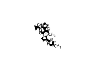 Cc1cnc(C2CCN(C(=O)c3c(C)oc4ncnc(NC5(C)CC5)c34)C2)nc1